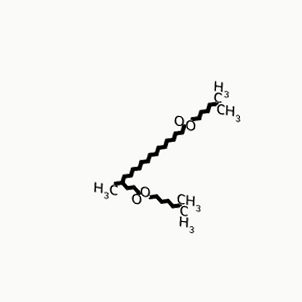 CCC(CCCCCCCCCCCCCCC(=O)OCCCCCC(C)C)CCC(=O)OCCCCCC(C)C